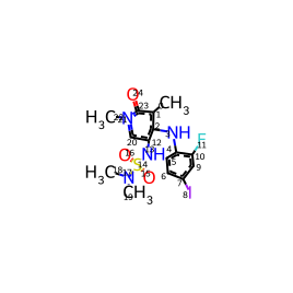 Cc1c(Nc2ccc(I)cc2F)c(NS(=O)(=O)N(C)C)cn(C)c1=O